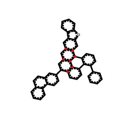 c1ccc(-c2ccccc2-c2c(-c3ccccc3)cccc2N(c2ccc(-c3ccc4c(ccc5ccccc54)c3)cc2)c2ccc3c(c2)oc2ccccc23)cc1